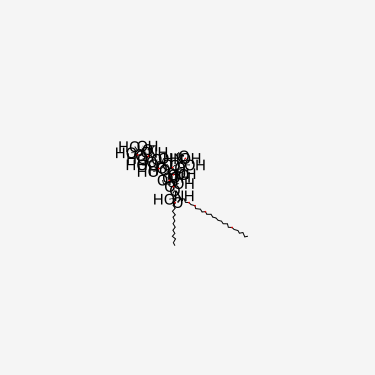 CCCCCCCCCCCCC/C=C/[C@@H](O)[C@H](CO[C@@H]1OC(CO)[C@@H](O[C@@H]2OC(CO)[C@H](O[C@@H]3OC(CO)[C@H](O)[C@H](O)C3NC(C)=O)[C@H](O[C@H]3OC(CO)[C@H](O)[C@H](O[C@@H]4OC(CO)[C@@H](O)[C@H](O[C@H]5OC(C)[C@@H](O)C(O)[C@@H]5O)C4NC(C)=O)C3O)C2O)[C@H](O)C1O)NC(=O)CCCCCCCCCCCCCCCCCCCCCCCCC